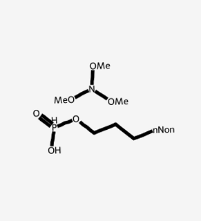 CCCCCCCCCCCCO[PH](=O)O.CON(OC)OC